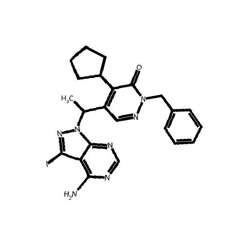 CC(c1cnn(Cc2ccccc2)c(=O)c1C1CCCC1)n1nc(I)c2c(N)ncnc21